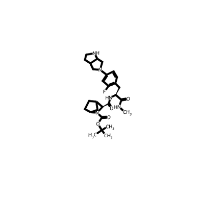 CNC(=O)[C@H](Cc1ccc(N2CC3CCNC3C2)cc1F)NC(=O)[C@@H]1C2CCC(C2)N1C(=O)OC(C)(C)C